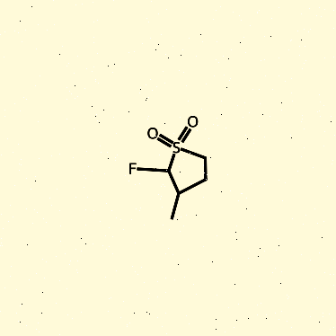 CC1CCS(=O)(=O)C1F